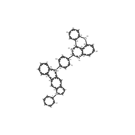 c1ccc(-n2ccc3cc4c(cc32)c2ccccc2n4-c2ccc(-c3nc4c5c(cccc5n3)Oc3ccccc3-4)cc2)cc1